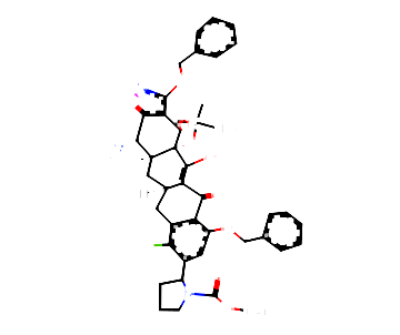 CC(C)(C)OC(=O)N1CCCC1c1cc(OCc2ccccc2)c2c(c1F)C[C@H]1C[C@H]3[C@H](N)c4onc(OCc5ccccc5)c4C(=O)[C@@]3(O[Si](C)(C)C(C)(C)C)C(O)=C1C2=O